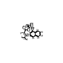 CC(C)N[C@@H](C)C(=O)OP(=O)(Cl)Oc1cccc2ccccc12